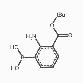 CC(C)(C)OC(=O)c1cccc(B(O)O)c1N